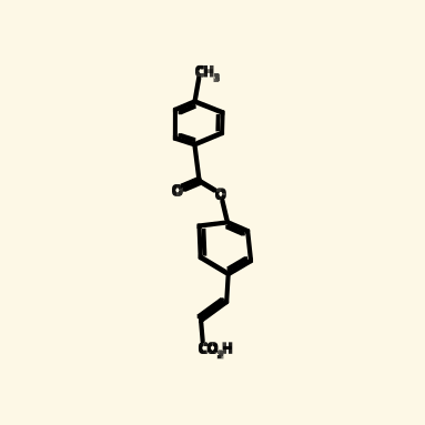 Cc1ccc(C(=O)Oc2ccc(C=CC(=O)O)cc2)cc1